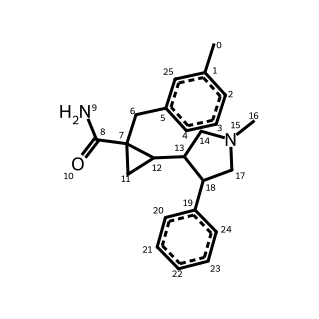 Cc1cccc(CC2(C(N)=O)CC2C2CN(C)CC2c2ccccc2)c1